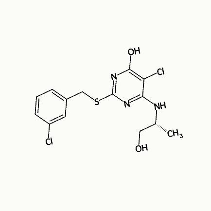 C[C@H](CO)Nc1nc(SCc2cccc(Cl)c2)nc(O)c1Cl